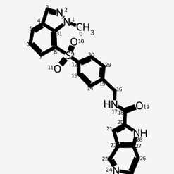 Cn1ncc2cccc(S(=O)(=O)c3ccc(CNC(=O)c4cc5cnccc5[nH]4)cc3)c21